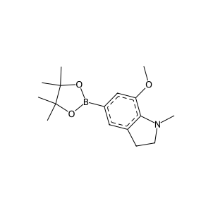 COc1cc(B2OC(C)(C)C(C)(C)O2)cc2c1N(C)CC2